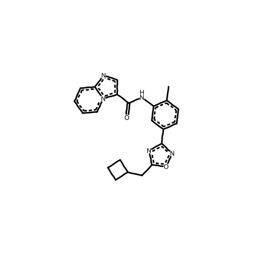 Cc1ccc(-c2noc(CC3CCC3)n2)cc1NC(=O)c1cnc2ccccn12